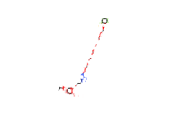 CC(C)C(=O)O[C@@H]1C[C@H](OCCCc2cn(CCOCCOCCOCCOCCOCCOCCC(=O)Oc3c(F)c(F)c(F)c(F)c3F)nn2)O[C@H](CO)[C@@H]1O